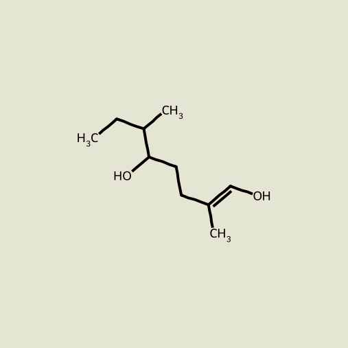 CCC(C)C(O)CCC(C)=CO